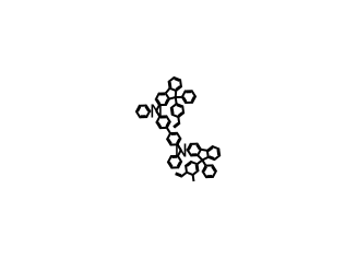 C=Cc1ccc(C2(c3ccccc3)c3ccccc3-c3ccc(N(c4ccccc4)c4ccc(-c5ccc(N(c6ccccc6)c6ccc7c(c6)C(C6=CC(C)C(C=C)C=C6)(c6ccccc6)c6ccccc6-7)cc5)cc4)cc32)cc1